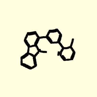 CC1C=CC=NC1c1cccc(-c2cccc3c4ccccc4p(C)c23)c1